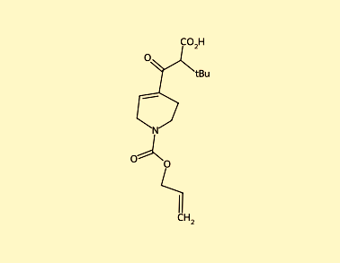 C=CCOC(=O)N1CC=C(C(=O)C(C(=O)O)C(C)(C)C)CC1